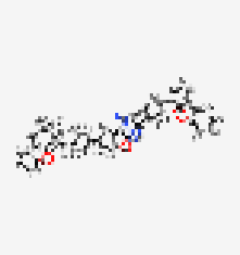 c1ccc2c(c1)oc1c(-c3ccc(-c4ccc5oc6nc(-c7ccc(-c8cccc9c8oc8ccccc89)cc7)cnc6c5c4)cc3)cccc12